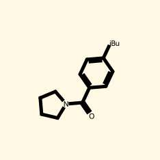 CCC(C)c1ccc(C(=O)N2CCCC2)cc1